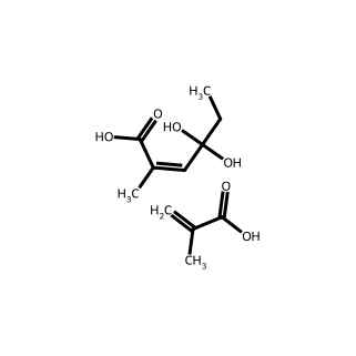 C=C(C)C(=O)O.CCC(O)(O)C=C(C)C(=O)O